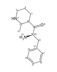 C[C]1NCCCC1C(=O)[C@H](N)Cc1ccccc1